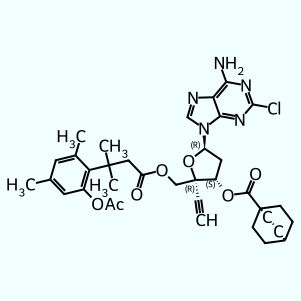 C#C[C@]1(COC(=O)CC(C)(C)c2c(C)cc(C)cc2OC(C)=O)O[C@@H](n2cnc3c(N)nc(Cl)nc32)C[C@@H]1OC(=O)C12CCC(CC1)CC2